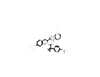 O=C(N[C@H]1CCCNC1)C(Cc1ccc(C(F)(F)F)cc1)NC(=O)C1(c2ccc(OC(F)(F)F)cc2)CC1